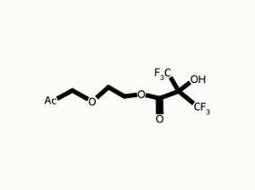 CC(=O)COCCOC(=O)C(O)(C(F)(F)F)C(F)(F)F